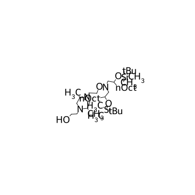 CCCCCCCCC(CN(CC(CCCCCCCC)O[Si](C)(C)C(C)(C)C)OCCN1CC(C)N(CCO)CC1C)O[Si](C)(C)C(C)(C)C